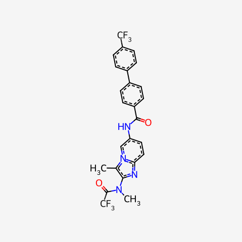 Cc1c(N(C)C(=O)C(F)(F)F)nc2ccc(NC(=O)c3ccc(-c4ccc(C(F)(F)F)cc4)cc3)cn12